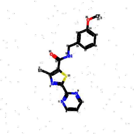 CCc1nc(-c2ncccn2)sc1C(=O)NCc1cccc(OC(F)(F)F)c1